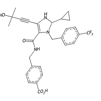 CC(C)(O)C#CC1=C(C(=O)NCc2ccc(C(=O)O)cc2)N(Cc2ccc(C(F)(F)F)cc2)C(C2CC2)N1